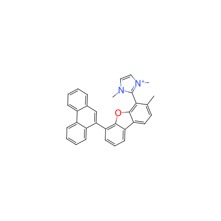 Cc1ccc2c(oc3c(-c4cc5ccccc5c5ccccc45)cccc32)c1-c1n(C)cc[n+]1C